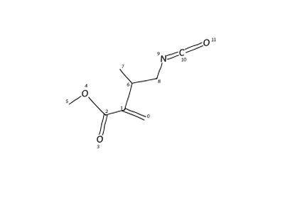 C=C(C(=O)OC)C(C)CN=C=O